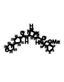 COc1ccccc1C(C)(C)NC(=O)c1cc2c(NC(=O)c3ccc(N4CCOCC4)cc3)n[nH]c2s1